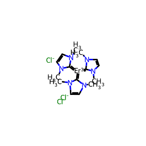 Cn1ccn(C)[c]1=[Er+3](=[c]1n(C)ccn1C)=[c]1n(C)ccn1C.[Cl-].[Cl-].[Cl-]